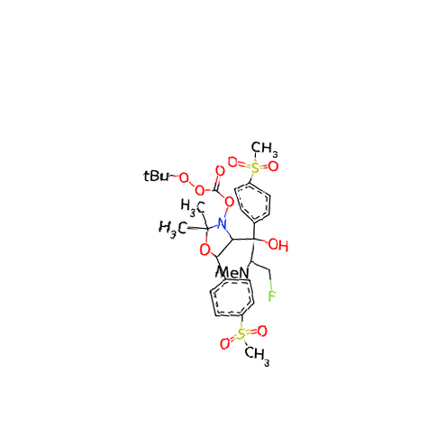 CNC(CF)C(O)(c1ccc(S(C)(=O)=O)cc1)C1C(c2ccc(S(C)(=O)=O)cc2)OC(C)(C)N1OC(=O)OOC(C)(C)C